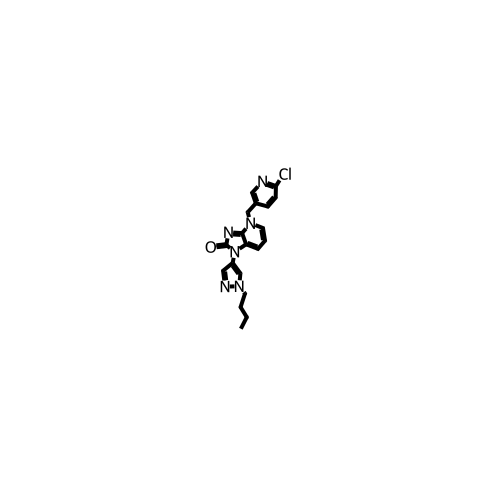 CCCCn1cc(-n2c3cccn(Cc4ccc(Cl)nc4)c-3nc2=O)cn1